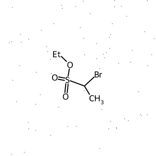 CCOS(=O)(=O)C(C)Br